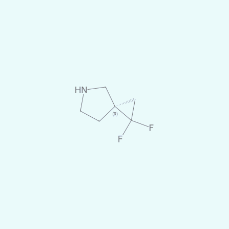 FC1(F)C[C@@]12CCNC2